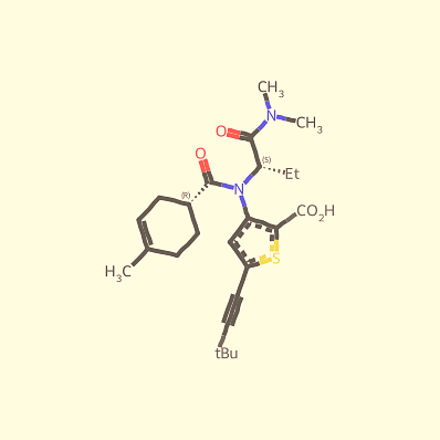 CC[C@@H](C(=O)N(C)C)N(C(=O)[C@H]1CC=C(C)CC1)c1cc(C#CC(C)(C)C)sc1C(=O)O